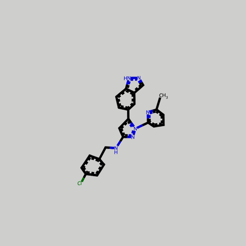 Cc1cccc(-n2nc(NCc3ccc(Cl)cc3)cc2-c2ccc3[nH]ncc3c2)n1